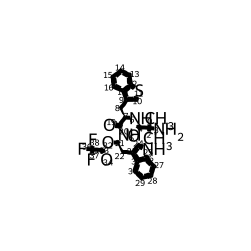 CC(C)(N)C(=O)N[C@H](Cc1csc2ccccc12)C(=O)N[C@@H](Cc1c[nH]c2ccccc12)OC(=O)C(F)(F)F